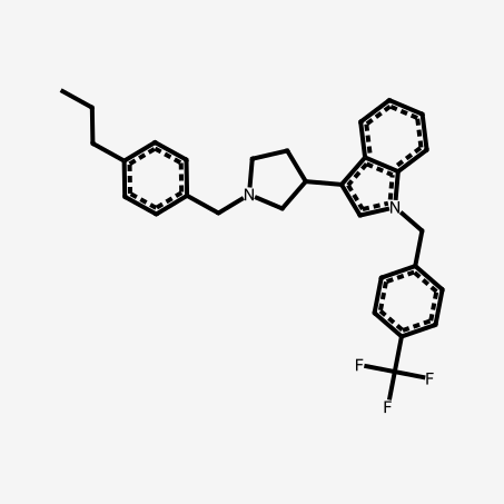 CCCc1ccc(CN2CCC(c3cn(Cc4ccc(C(F)(F)F)cc4)c4ccccc34)C2)cc1